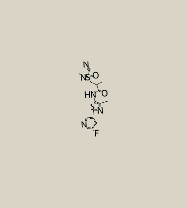 CN=S(=O)(C#N)CC(C)C(=O)Nc1sc(-c2cncc(F)c2)nc1C